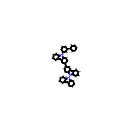 c1ccc(-c2cccc(-n3c4ccccc4c4cc(-c5ccc6c(c5)c5ccccc5n6-n5c6ccccc6c6ccccc65)ccc43)c2)cc1